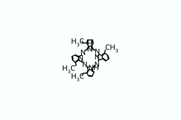 CCc1cccc2c1-c1nc-2nc2[nH]c(nc3nc(nc4[nH]c(n1)c1cccc(CC)c41)-c1cccc(CC)c1-3)c1c(CC)cccc21